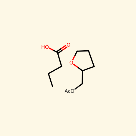 CC(=O)OCC1CCCO1.CCCC(=O)O